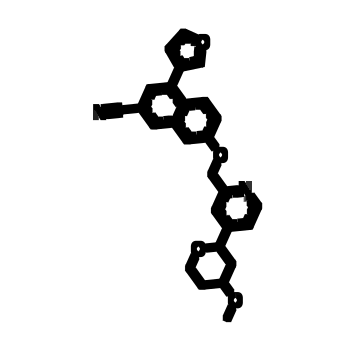 COC1CCOC(c2ccnc(COc3ccc4c(-c5ccoc5)cc(C#N)cc4c3)c2)C1